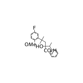 COc1ccc(F)cc1C(C)(C)CC(O)(C(=O)O)C(C)c1ccccc1